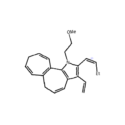 C=Cc1c2c(n(CCOC)c1/C=C\CC)C1=C(C=CCC=C1)CC=C2